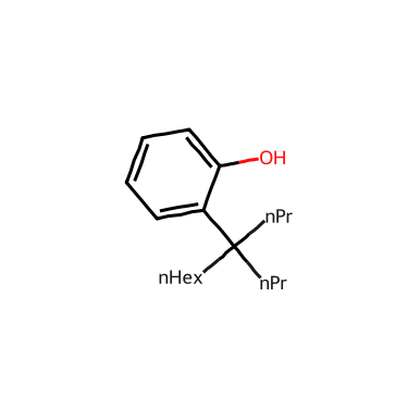 CCCCCCC(CCC)(CCC)c1ccccc1O